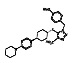 COc1ccc(Cn2nnc(C(=O)O)c2S[C@H]2CC[C@H](c3ccc(N4CCCCC4)cc3)CC2)cc1